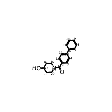 O=C(c1ccc(-c2ccccc2)cc1)N1CCC(O)CC1